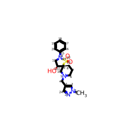 Cn1cc(CN2CCC[C@@]3(C2)[C@@H](O)CN(c2ccccc2)S3(=O)=O)cn1